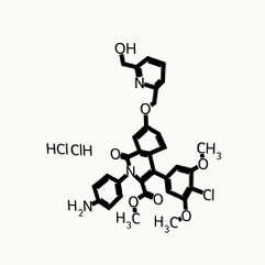 COC(=O)c1c(-c2cc(OC)c(Cl)c(OC)c2)c2ccc(OCc3cccc(CO)n3)cc2c(=O)n1-c1ccc(N)cc1.Cl.Cl